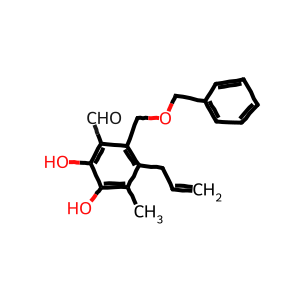 C=CCc1c(C)c(O)c(O)c(C=O)c1COCc1ccccc1